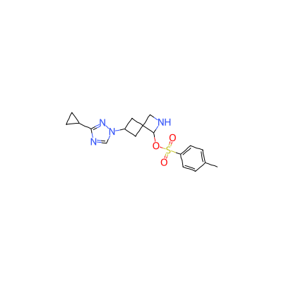 Cc1ccc(S(=O)(=O)OC2NCC23CC(n2cnc(C4CC4)n2)C3)cc1